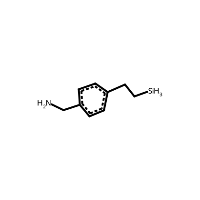 NCc1ccc(CC[SiH3])cc1